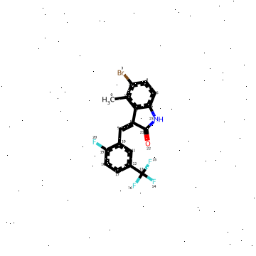 Cc1c(Br)ccc2c1C(=Cc1cc(C(F)(F)F)ccc1F)C(=O)N2